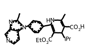 CCOC(=O)C1=C(c2ccc(-n3c(C)nc4cnccc43)cc2)NC(C)=C(C(=O)O)C1C(C)C